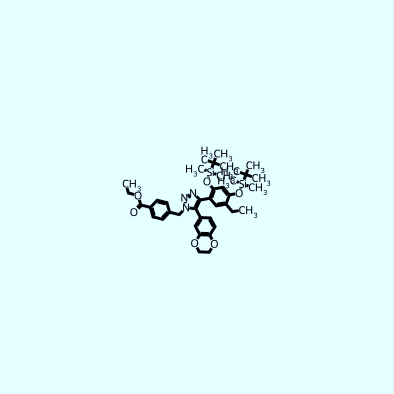 CCOC(=O)c1ccc(Cn2nnc(-c3cc(CC)c(O[Si](C)(C)C(C)(C)C)cc3O[Si](C)(C)C(C)(C)C)c2-c2ccc3c(c2)OCCO3)cc1